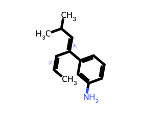 C/C=C\C(=C/C(C)C)c1cccc(N)c1